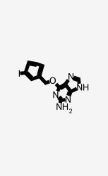 Nc1nc(OCc2cccc(I)c2)c2nc[nH]c2n1